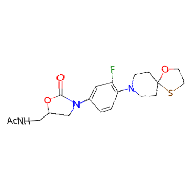 CC(=O)NCC1CN(c2ccc(N3CCC4(CC3)OCCS4)c(F)c2)C(=O)O1